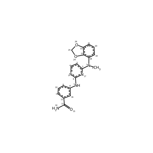 CN(c1ccnc(Nc2cccc(C(N)=O)c2)n1)c1cccc2c1OCO2